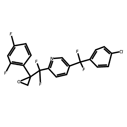 Fc1ccc(C2(C(F)(F)c3ccc(C(F)(F)c4ccc(Cl)cc4)cn3)CO2)c(F)c1